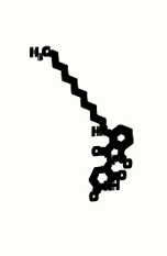 CCCCCCCCCCCCNc1cccc2c1C(=O)N(C1CCC(=O)NC1=O)C2=O